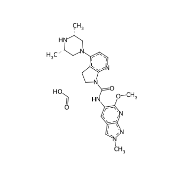 COc1nc2nn(C)cc2cc1NC(=O)N1CCc2c(N3C[C@@H](C)N[C@@H](C)C3)ccnc21.O=CO